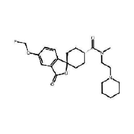 CN(CCN1CCCCC1)C(=O)[C@H]1CC[C@@]2(CC1)OC(=O)c1cc(OCF)ccc12